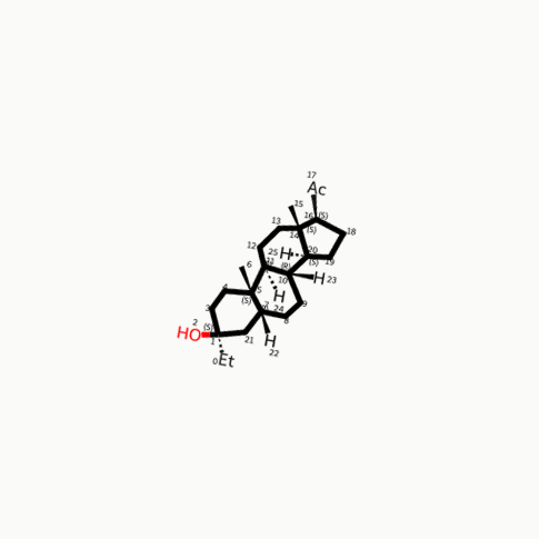 CC[C@]1(O)CC[C@@]2(C)[C@H](CC[C@@H]3[C@@H]2CC[C@]2(C)[C@@H](C(C)=O)CC[C@@H]32)C1